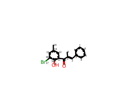 C/C(=C\c1ccccc1)C(=O)c1cc(C)cc(Br)c1O